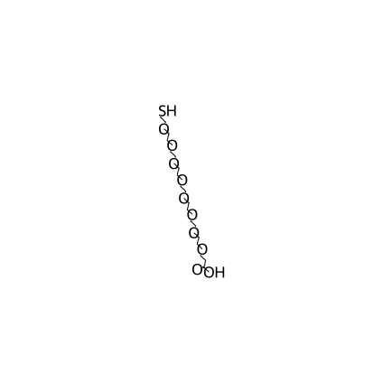 O=C(O)CCOCCOCCOCCOCCOCCOCCOCCOCCS